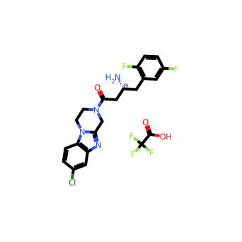 N[C@@H](CC(=O)N1CCn2c(nc3cc(Cl)ccc32)C1)Cc1cc(F)ccc1F.O=C(O)C(F)(F)F